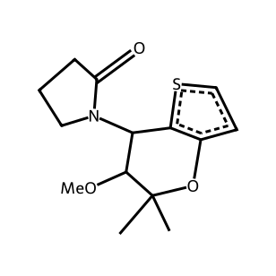 COC1C(N2CCCC2=O)c2sccc2OC1(C)C